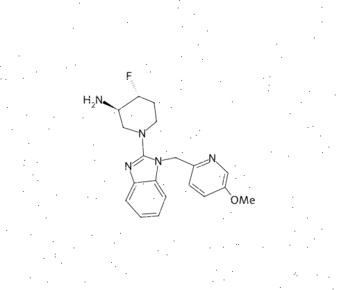 COc1ccc(Cn2c(N3CC[C@@H](F)[C@H](N)C3)nc3ccccc32)nc1